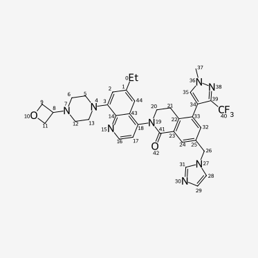 CCc1cc(N2CCN(C3COC3)CC2)c2nccc(N3CCc4c(cc(Cn5ccnc5)cc4-c4cn(C)nc4C(F)(F)F)C3=O)c2c1